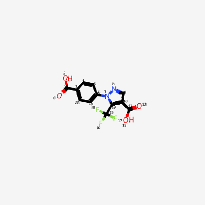 O=C(O)c1ccc(-n2ncc(C(=O)O)c2C(F)(F)F)cc1